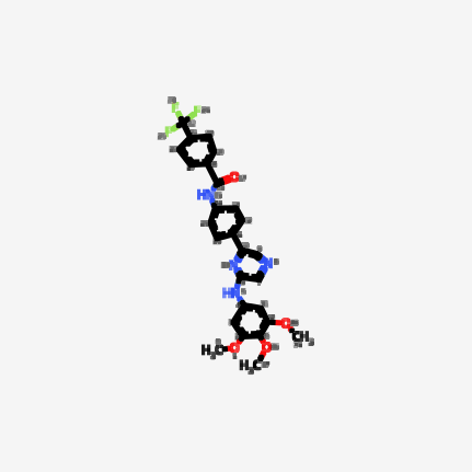 COc1cc(Nc2cncc(-c3ccc(NC(=O)c4ccc(C(F)(F)F)cc4)cc3)n2)cc(OC)c1OC